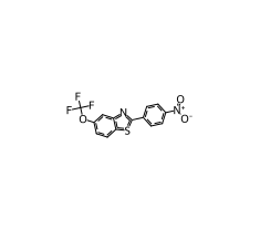 O=[N+]([O-])c1ccc(-c2nc3cc(OC(F)(F)F)ccc3s2)cc1